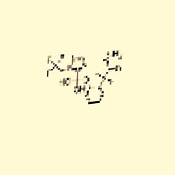 COC(=O)C(F)(F)c1ccccc1OC(O)(O)c1ccnn1CC(F)(F)F